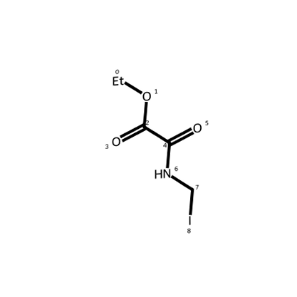 CCOC(=O)C(=O)NCI